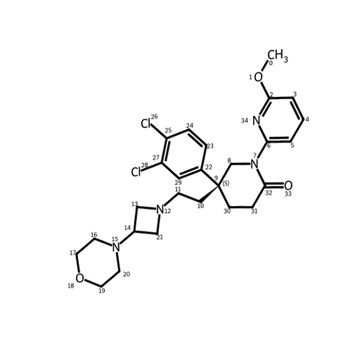 COc1cccc(N2C[C@@](CCN3CC(N4CCOCC4)C3)(c3ccc(Cl)c(Cl)c3)CCC2=O)n1